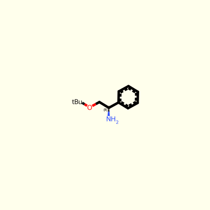 CC(C)(C)OC[C@H](N)c1ccccc1